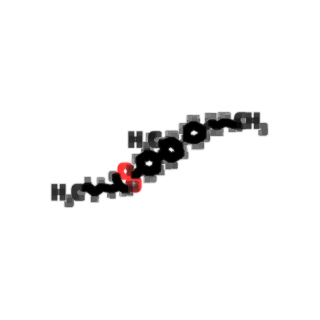 CCCCCC1COC(c2ccc(-c3ccc([C@H]4CC[C@H](CCCCC)CC4)cc3C)cc2)OC1